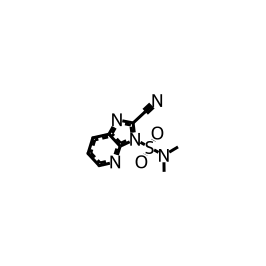 CN(C)S(=O)(=O)n1c(C#N)nc2cccnc21